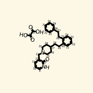 O=C(O)C(=O)O.O=c1[nH]cccc1CN1CCC(CCc2ccccc2CCc2ccccc2)CC1